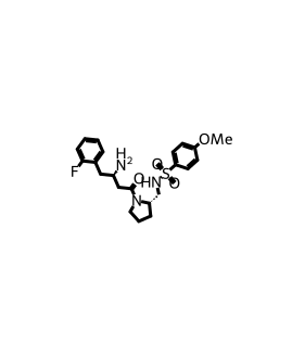 COc1ccc(S(=O)(=O)NC[C@@H]2CCCN2C(=O)C[C@H](N)Cc2ccccc2F)cc1